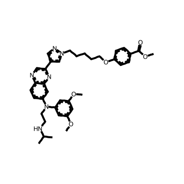 COC(=O)c1ccc(OCCCCCn2cc(-c3cnc4ccc(N(CCNC(C)C)c5cc(OC)cc(OC)c5)cc4n3)cn2)cc1